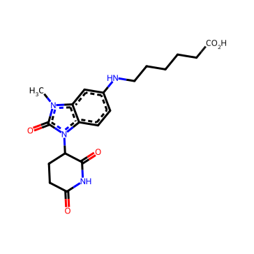 Cn1c(=O)n(C2CCC(=O)NC2=O)c2ccc(NCCCCCC(=O)O)cc21